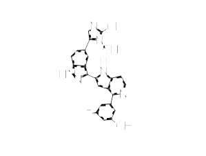 Cc1cc(F)cc(-c2nccc3[nH]c(-c4n[nH]c5ccc(-c6cnc(C)n6C)cc45)cc23)c1